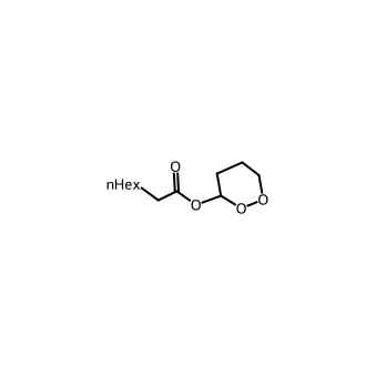 CCCCCCCC(=O)OC1CCCOO1